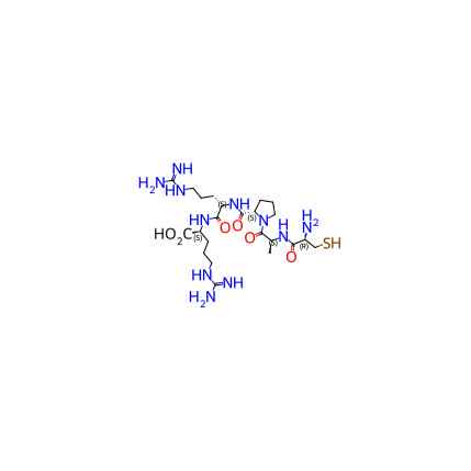 C[C@H](NC(=O)[C@@H](N)CS)C(=O)N1CCC[C@H]1C(=O)N[C@@H](CCCNC(=N)N)C(=O)N[C@@H](CCCNC(=N)N)C(=O)O